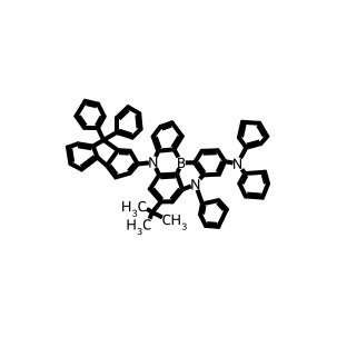 CC(C)(C)c1cc2c3c(c1)N(c1ccccc1)c1cc(N(c4ccccc4)c4ccccc4)ccc1B3c1ccccc1N2c1ccc2c(c1)C(c1ccccc1)(c1ccccc1)c1ccccc1-2